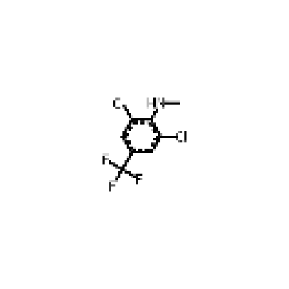 CNc1c(Cl)cc(C(F)(F)F)cc1Cl